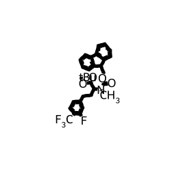 CN(C(=O)OCC1c2ccccc2-c2ccccc21)C(CCc1ccc(C(F)(F)F)c(F)c1)C(=O)OC(C)(C)C